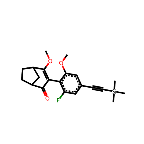 COC1=C(c2c(F)cc(C#C[Si](C)(C)C)cc2OC)C(=O)C2CCC1C2